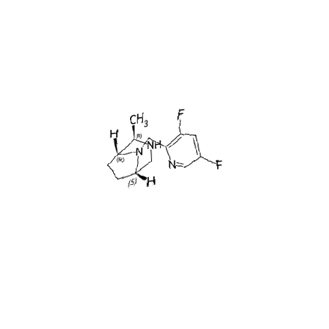 C[C@H]1NC[C@@H]2CC[C@H]1N2Cc1ncc(F)cc1F